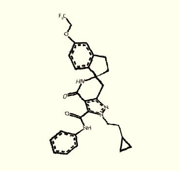 O=C1N[C@@]2(CCc3cc(OCC(F)(F)F)ccc32)Cc2nn(CCC3CC3)c(C(=O)Nc3ccccc3)c21